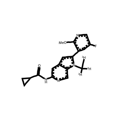 [2H]C([2H])([2H])n1c(-c2cc(F)cnc2OC)cc2cc(NC(=O)C3CC3)ncc21